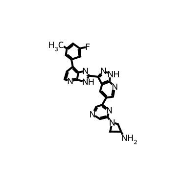 Cc1cc(F)cc(-c2ccnc3[nH]c(-c4n[nH]c5ncc(-c6cncc(N7CC(N)C7)n6)cc45)nc23)c1